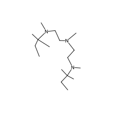 CCC(C)(C)N(C)CCN(C)CCN(C)C(C)(C)CC